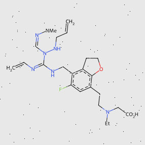 C=CCNN(/C=N\NC)/C(=N\C=C)NCc1c(F)cc(CCN(CC)CC(=O)O)c2c1CCO2